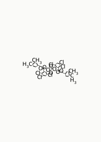 Cc1ccc(COC(=O)c2c(Cl)c(Cl)cc(Cl)c2OC(=O)C(=O)Oc2c(Cl)cc(Cl)c(Cl)c2C(=O)OCc2ccc(C)c(C)c2)cc1C